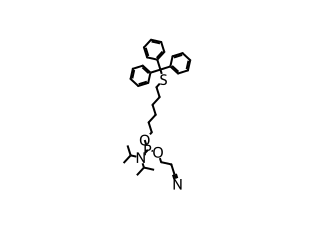 CC(C)N(C(C)C)P(OCCC#N)OCCCCCCSC(c1ccccc1)(c1ccccc1)c1ccccc1